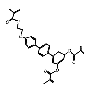 C=C(C)C(=O)OCCOc1ccc(-c2ccc(C3=CC(OC(=O)C(=C)C)=CC(OC(=O)C(=C)C)C3)cc2)cc1